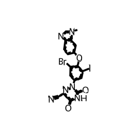 Cn1cnc2ccc(Oc3c(Br)cc(-n4nc(C#N)c(=O)[nH]c4=O)cc3I)cc21